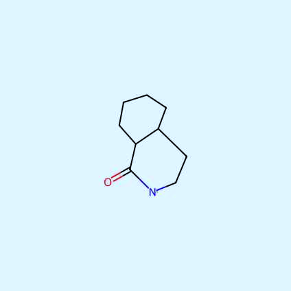 O=C1[N]CCC2CCCCC12